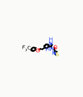 O=C(Nc1c[nH]c2ccc(CCOc3ccc(C(F)(F)F)cc3)cc12)c1cscn1